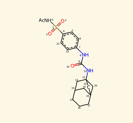 CC(=O)NS(=O)(=O)c1ccc(NC(=O)NC23CC4CCCC(C4)(C2)C3)cc1